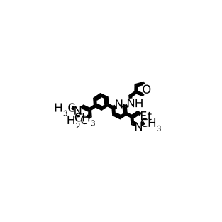 C=C/C(=C\N(C)C)c1cccc(-c2ccc(C(/C=N\C)=C/CC)c(NCC3CCOC3)n2)c1